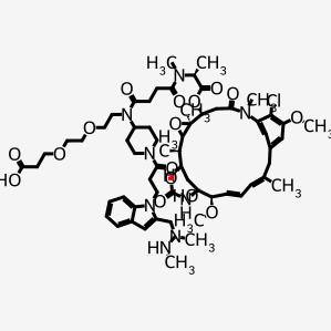 CNN(C)Cc1cc2ccccc2n1CCC(=O)N1CCC(N(CCOCCOCCC(=O)O)C(=O)CCC(=O)N(C)[C@@H](C)C(=O)O[C@H]2CC(=O)N(C)c3cc(cc(OC)c3Cl)C/C(C)=C/C=C/[C@@H](OC)[C@@]3(O)C[C@H](OC(=O)N3)[C@@H](C)C3O[C@]32C)CC1